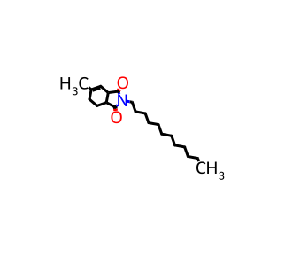 CCCCCCCCCCCCN1C(=O)C2C=C(C)CCC2C1=O